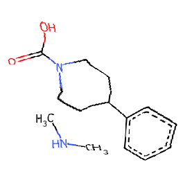 CNC.O=C(O)N1CCC(c2ccccc2)CC1